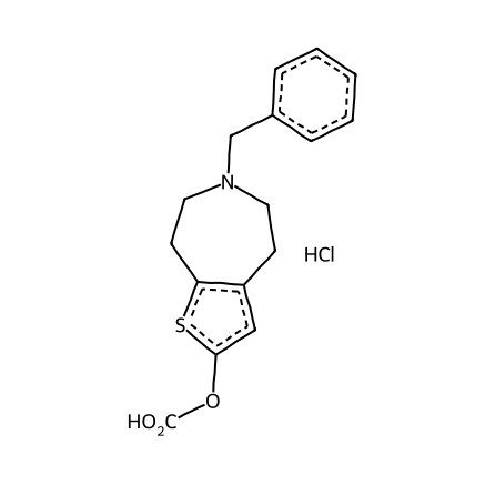 Cl.O=C(O)Oc1cc2c(s1)CCN(Cc1ccccc1)CC2